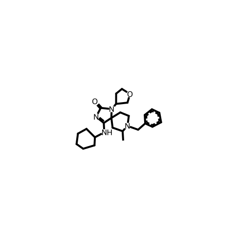 CC1CC2(CCN1Cc1ccccc1)C(NC1CCCCC1)=NC(=O)N2C1CCOC1